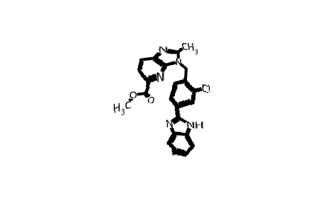 COC(=O)c1ccc2nc(C)n(Cc3ccc(-c4nc5ccccc5[nH]4)cc3Cl)c2n1